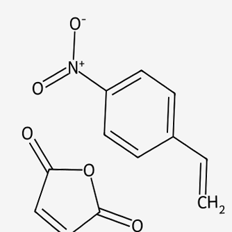 C=Cc1ccc([N+](=O)[O-])cc1.O=C1C=CC(=O)O1